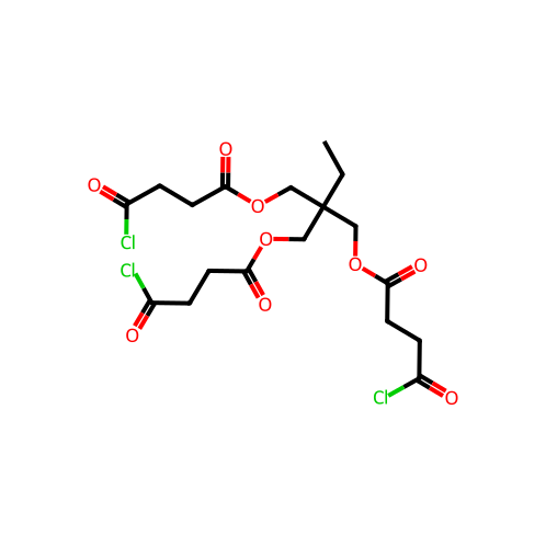 CCC(COC(=O)CCC(=O)Cl)(COC(=O)CCC(=O)Cl)COC(=O)CCC(=O)Cl